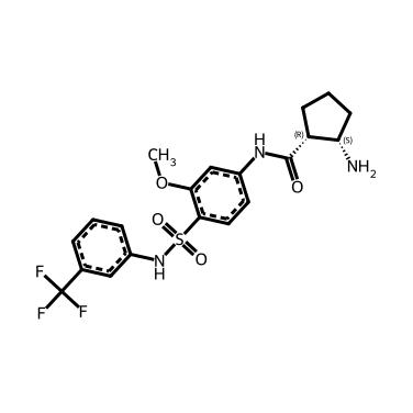 COc1cc(NC(=O)[C@@H]2CCC[C@@H]2N)ccc1S(=O)(=O)Nc1cccc(C(F)(F)F)c1